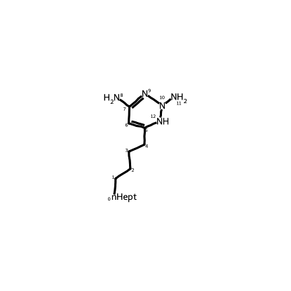 CCCCCCCCCCCC1=CC(N)=NN(N)N1